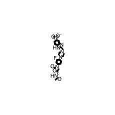 CC(=O)NC[C@H]1CN(c2ccc(N3CCN(Cc4nc5cc([N+](=O)[O-])ccc5[nH]4)CC3)c(F)c2)C(=O)O1